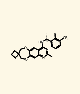 Cc1nc(N[C@H](C)c2cccc(C(F)(F)F)c2C)c2cc3c(cc2n1)OCC1(CCC1)CO3